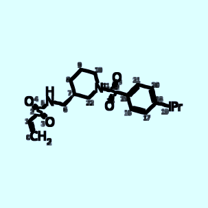 C=CS(=O)(=O)NC[C@H]1CCCN(S(=O)(=O)c2ccc(C(C)C)cc2)C1